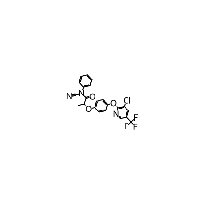 CC(Oc1ccc(Oc2ncc(C(F)(F)F)cc2Cl)cc1)C(=O)N(C#N)c1ccccc1